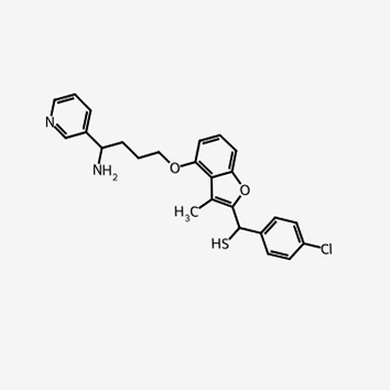 Cc1c(C(S)c2ccc(Cl)cc2)oc2cccc(OCCCC(N)c3cccnc3)c12